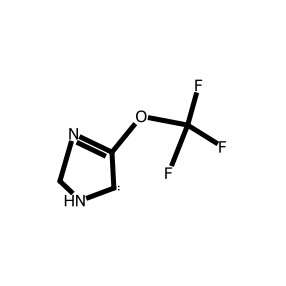 FC(F)(F)OC1=NCN[C]1